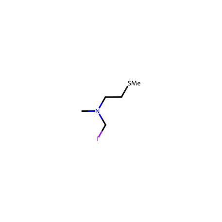 CSCCN(C)CI